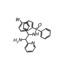 NC(c1ccccn1)C(NP(=O)(c1ccccc1)c1ccccc1)c1ccc(Br)cc1